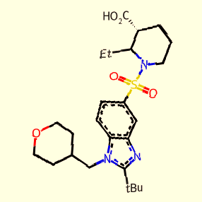 CCC1[C@H](C(=O)O)CCCN1S(=O)(=O)c1ccc2c(c1)nc(C(C)(C)C)n2CC1CCOCC1